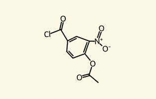 CC(=O)Oc1ccc(C(=O)Cl)cc1[N+](=O)[O-]